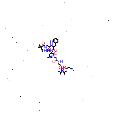 C#CC1(C(=O)NCC(=O)NC(Cc2ccccc2)C(=O)NC(CC(C)C)C(=O)NCC(=O)NCCOP(OCCC#N)N(C(C)C)C(C)C)CC1